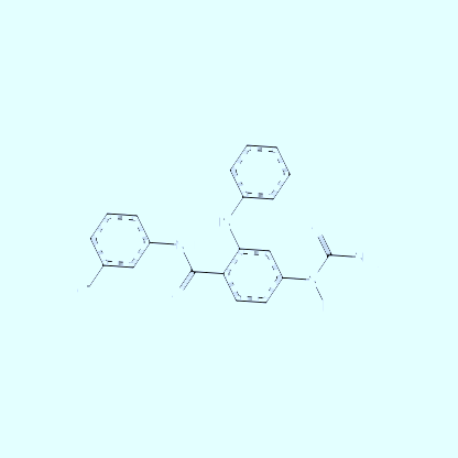 CCN(C(N)=O)c1ccc(C(=O)Nc2cccc(Cl)c2)c(Nc2ccccc2)c1